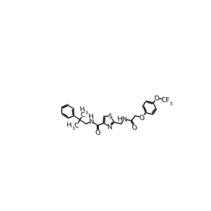 CC(C)(CNC(=O)c1csc(CNC(=O)COc2ccc(OC(F)(F)F)cc2)n1)c1ccccc1